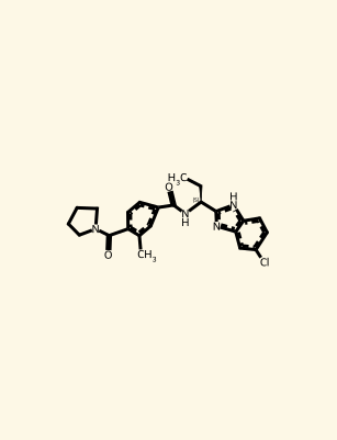 CC[C@H](NC(=O)c1ccc(C(=O)N2CCCC2)c(C)c1)c1nc2cc(Cl)ccc2[nH]1